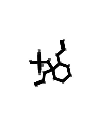 C=CCC1CCCCC1(CC=C)OS(C)(=O)=O